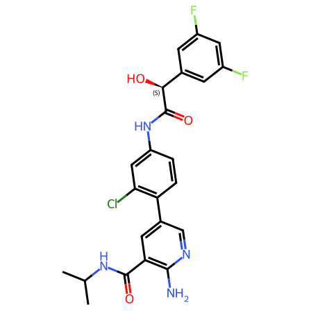 CC(C)NC(=O)c1cc(-c2ccc(NC(=O)[C@@H](O)c3cc(F)cc(F)c3)cc2Cl)cnc1N